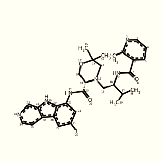 Cc1ncccc1C(=O)N[C@H](CN1CC(C)(C)OC[C@H]1C(=O)Nc1cc(I)cc2c1[nH]c1cnccc12)C(C)C